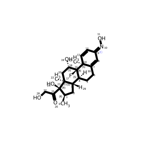 C[C@@H]1C[C@H]2[C@@H]3CCC4=C/C(=N/O)C=C[C@]4(C)[C@@]3(F)[C@@H](O)C[C@]2(C)[C@@]1(O)C(=O)CO